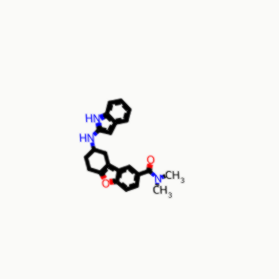 CN(C)C(=O)c1ccc2oc3c(c2c1)CC(Nc1cc2ccccc2[nH]1)CC3